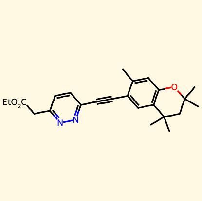 CCOC(=O)Cc1ccc(C#Cc2cc3c(cc2C)OC(C)(C)CC3(C)C)nn1